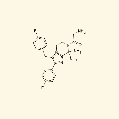 CC1(C)c2nc(-c3ccc(F)cc3)c(Cc3ccc(F)cc3)n2CCN1C(=O)CN